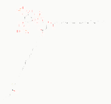 CCCCCCCCCCCCCCCC(=O)O[C@@H](COP(=O)(O)OC1C(O)[C@H](OP(=O)(O)O)C(O)[C@H](OP(=O)(O)O)[C@@H]1O)CC(=O)OCCCCCCCCCCCCCCCCSC(=O)CCC